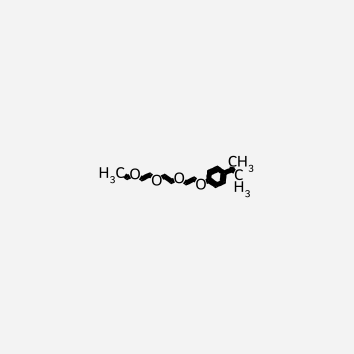 CCOCCOCCOCCOc1ccc(C(C)C)cc1